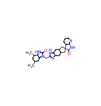 Cc1cc(C)c2[nH]c(=O)n(Cc3nc4cc5c(cc4[nH]3)CC3(C5)C(=O)Nc4ncccc43)c2c1